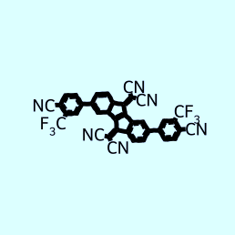 N#CC(C#N)=C1C2=C(C(=C(C#N)C#N)C3C=CC(c4ccc(C#N)c(C(F)(F)F)c4)=CC23)c2cc(-c3ccc(C#N)c(C(F)(F)F)c3)ccc21